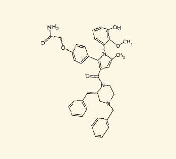 COc1c(O)cccc1-n1c(C)cc(C(=O)N2CCN(Cc3ccccc3)C[C@H]2Cc2ccccc2)c1-c1ccc(OCC(N)=O)cc1